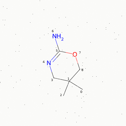 CC1(C)CN=C(N)OC1